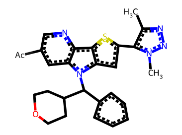 CC(=O)c1cnc2c3sc(-c4c(C)nnn4C)cc3n(C(c3ccccc3)C3CCOCC3)c2c1